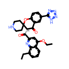 CCOc1cc(C(=O)[C@H]2C(=O)c3cc(-c4nnn[nH]4)ccc3OC23CCNCC3)nc2c(CC)cccc12